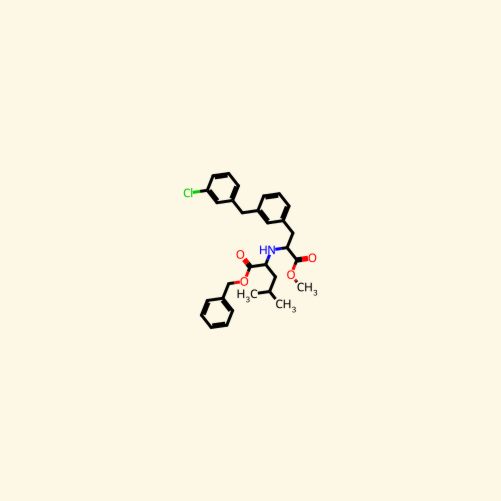 COC(=O)C(Cc1cccc(Cc2cccc(Cl)c2)c1)NC(CC(C)C)C(=O)OCc1ccccc1